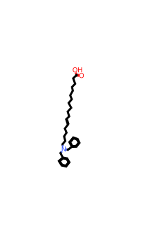 O=C(O)CCCCCCCCCCC=CCCCCCN(Cc1ccccc1)Cc1ccccc1